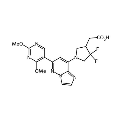 COc1ncc(-c2cc(N3CC(CC(=O)O)C(F)(F)C3)c3nccn3n2)c(OC)n1